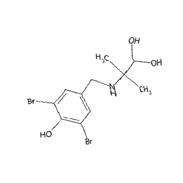 CC(C)(NCc1cc(Br)c(O)c(Br)c1)C(O)O